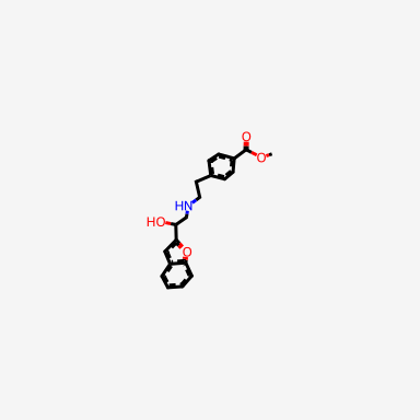 COC(=O)c1ccc(CCNCC(O)c2cc3ccccc3o2)cc1